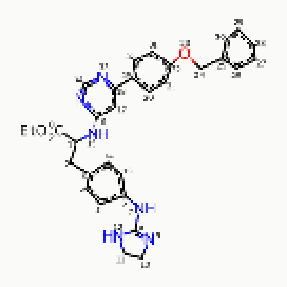 CCOC(=O)C(Cc1ccc(NC2=NCCN2)cc1)Nc1cc(-c2ccc(OCc3ccccc3)cc2)ncn1